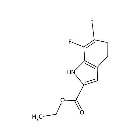 CCOC(=O)c1cc2ccc(F)c(F)c2[nH]1